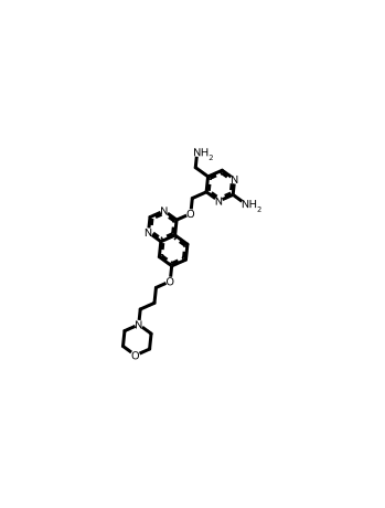 NCc1cnc(N)nc1COc1ncnc2cc(OCCCN3CCOCC3)ccc12